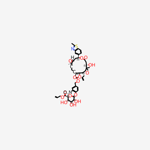 C=CCOC(=O)[C@H]1O[C@@H](Oc2ccc(COC(=O)O[C@H]3[C@@H](C)CCC[C@@]4(C)O[C@H]4C[C@@H](c4ccc5sc(C)nc5c4)OC(=O)C[C@H](O)C(C)(C)C(=O)[C@@H]3CC=C)cc2[N+](=O)[O-])[C@H](O)[C@@H](O)[C@@H]1O